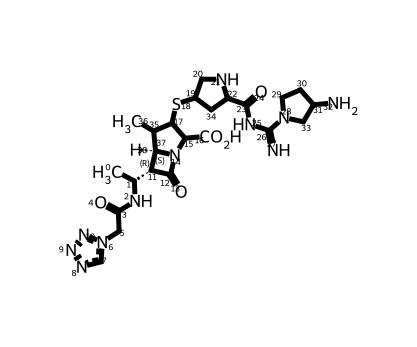 CC(NC(=O)Cn1cnnn1)[C@H]1C(=O)N2C(C(=O)O)C(SC3CNC(C(=O)NC(=N)N4CCC(N)C4)C3)C(C)[C@H]12